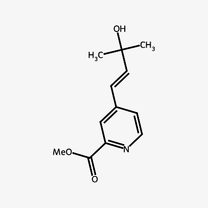 COC(=O)c1cc(C=CC(C)(C)O)ccn1